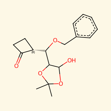 CC1(C)OC(O)C(C(OCc2ccccc2)[C@H]2CCC2=O)O1